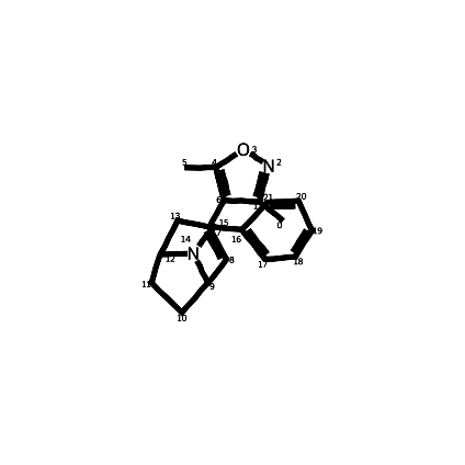 Cc1noc(C)c1C1=CC2CCC(C1)N2Cc1ccccc1